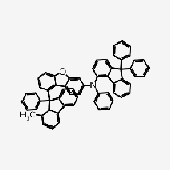 CC1C=CC=C2c3ccccc3C(c3ccccc3)(c3cccc4oc5cc(N(c6ccccc6)c6cccc7c6-c6ccccc6C7(c6ccccc6)c6ccccc6)ccc5c34)C21